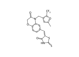 Cc1cc(CN2C(=O)COc3ccc(C=C4SC(=S)NC4=O)cc32)c(C(F)(F)F)o1